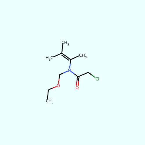 CCOCN(C(=O)CCl)C(C)=C(C)C